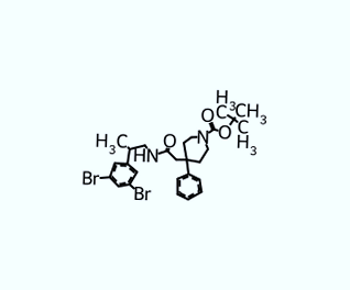 CC(CNC(=O)CC1(c2ccccc2)CCN(C(=O)OC(C)(C)C)CC1)c1cc(Br)cc(Br)c1